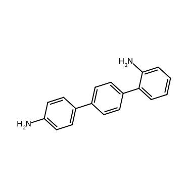 Nc1ccc(-c2ccc(-c3ccccc3N)cc2)cc1